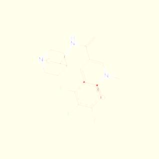 C=C(NC1CN2CCC1CC2)C(/C=C\C=O)=C/N(C)c1cc(F)c(F)c(F)c1